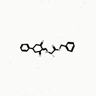 C[C@H](NC=C1C(=O)CC(c2ccccc2)CC1=O)C(=O)OCc1ccccc1